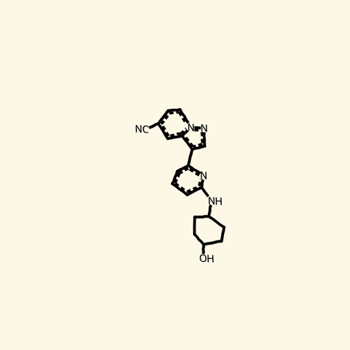 N#Cc1ccn2ncc(-c3cccc(NC4CCC(O)CC4)n3)c2c1